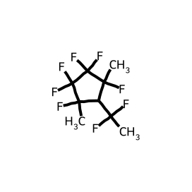 CC(F)(F)C1C(C)(F)C(F)(F)C(F)(F)C1(C)F